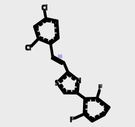 Fc1cccc(F)c1-c1csc(/C=C/c2ccc(Cl)cc2Cl)n1